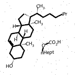 CC(C)CCC[C@@H](C)[C@H]1CC[C@H]2[C@@H]3CC=C4C[C@@H](O)CC[C@]4(C)[C@H]3CC[C@]12C.CCCCCCCOC(=O)O